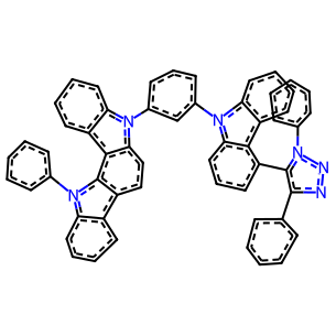 c1ccc(-c2nnn(-c3ccccc3)c2-c2cccc3c2c2ccccc2n3-c2cccc(-n3c4ccccc4c4c3ccc3c5ccccc5n(-c5ccccc5)c34)c2)cc1